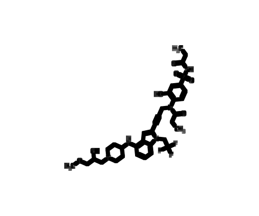 CCC(=O)NS(=O)(=O)c1ccc(N(CC#Cc2cc3c(NC4CCN(CC(O)COC)CC4)cccc3n2CC(F)(F)F)C(=O)CC)c(O)c1